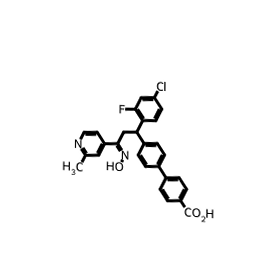 Cc1cc(C(CC(c2ccc(-c3ccc(C(=O)O)cc3)cc2)c2ccc(Cl)cc2F)=NO)ccn1